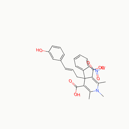 CC1=C(C(=O)O)C(C/C=C/c2cccc(O)c2)(c2ccccc2[N+](=O)[O-])C(C(=O)O)=C(C)N1C